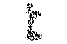 Nc1ncnc2c1c(-c1ccc(Oc3ccccc3)cc1)nn2C1CCN(C2CN(C3CN(c4cccc5c4C(=O)N(C4CCC(=O)NC4=O)C5=O)C3)C2)CC1